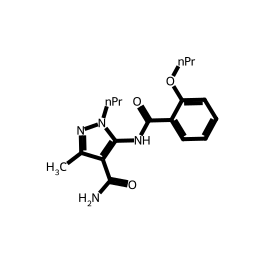 CCCOc1ccccc1C(=O)Nc1c(C(N)=O)c(C)nn1CCC